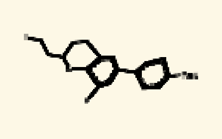 CCCCCc1ccc(-c2cc(F)c3c(c2)CCC(CCF)O3)cc1